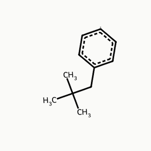 CC(C)(C)Cc1cc[c]cc1